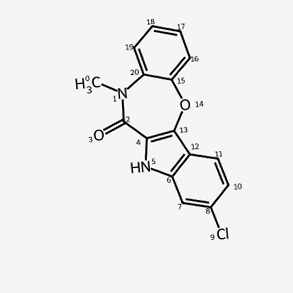 CN1C(=O)c2[nH]c3cc(Cl)ccc3c2Oc2ccccc21